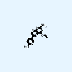 CCOc1nc(N)nc2ncc(-c3ccc(O)nc3)nc12